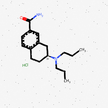 CCCN(CCC)[C@H]1CCc2ccc(C(N)=O)cc2C1.Cl